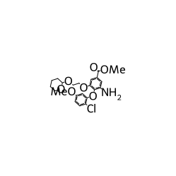 COC(=O)c1cc(N)c(Oc2cc(OC)ccc2Cl)c(OCCOC2CCCCO2)c1